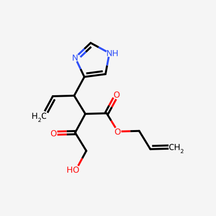 C=CCOC(=O)C(C(=O)CO)C(C=C)c1c[nH]cn1